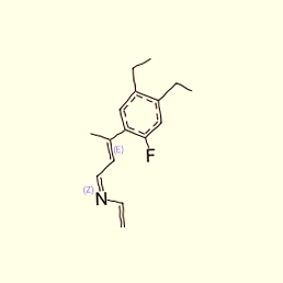 C=C/N=C\C=C(/C)c1cc(CC)c(CC)cc1F